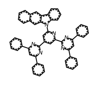 c1ccc(-c2cc(-c3ccccc3)nc(-c3cc(-c4nc(-c5ccccc5)cc(-c5ccccc5)n4)nc(-n4c5ccccc5c5cc6ccccc6cc54)c3)n2)cc1